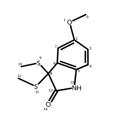 COc1ccc2c(c1)C(SC)(SC)C(=O)N2